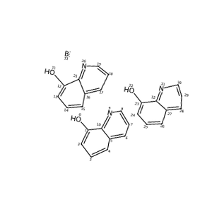 Oc1cccc2cccnc12.Oc1cccc2cccnc12.Oc1cccc2cccnc12.[B]